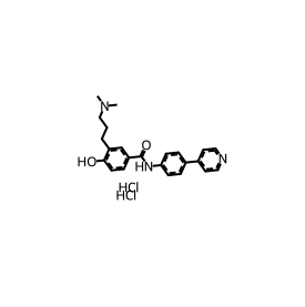 CN(C)CCCc1cc(C(=O)Nc2ccc(-c3ccncc3)cc2)ccc1O.Cl.Cl